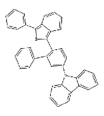 c1ccc(-c2cc(-n3c4ccccc4c4ccccc43)ccc2-c2sc(-c3ccccc3)c3ccccc23)cc1